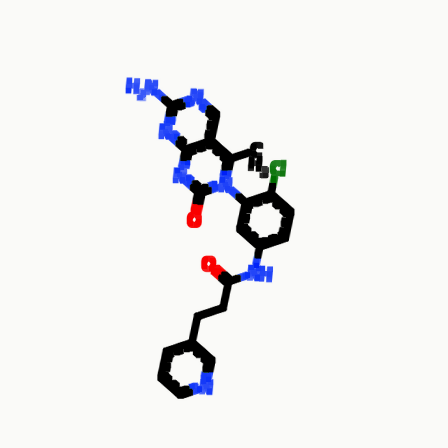 Cc1c2cnc(N)nc2nc(=O)n1-c1cc(NC(=O)CCc2cccnc2)ccc1Cl